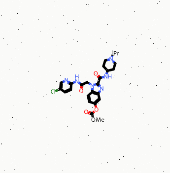 COC(=O)Oc1ccc2c(c1)nc(C(=O)NC1CCN(C(C)C)CC1)n2CC(=O)Nc1ccc(Cl)cn1